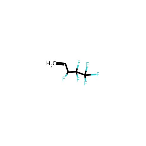 C=CC(F)C(F)(F)C(F)(F)F